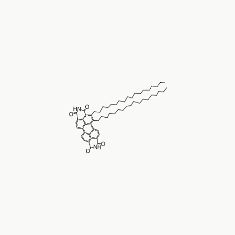 CCCCCCCCCCCCCCCCCCc1c2c3c(ccc4c5ccc6c7c(ccc(c(c1CCCCCCCCCCCCCCCCCC)c34)c75)C(=O)NC6=O)C(=O)NC2=O